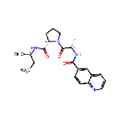 C[C@H](NC(=O)c1ccc2ncccc2c1)C(=O)N1CCC[C@H]1C(=O)N[C@H](C=O)CC(=O)O